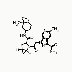 Cc1cc2c(C(N)=O)nn(CC(=O)N3[C@@H]4C[C@@H]4C[C@H]3C(=O)NC3CCCC(C)(C)C3)c2cn1